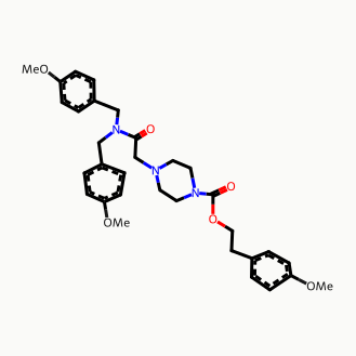 COc1ccc(CCOC(=O)N2CCN(CC(=O)N(Cc3ccc(OC)cc3)Cc3ccc(OC)cc3)CC2)cc1